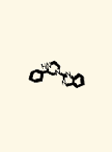 c1ccc(C2CN(c3ncc4ccccc4n3)CCN2)cc1